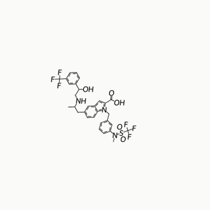 CC(Cc1ccc2c(c1)cc(C(=O)O)n2Cc1cccc(N(C)S(=O)(=O)C(F)(F)F)c1)NCC(O)c1cccc(C(F)(F)F)c1